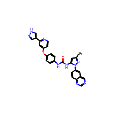 CC(C)c1cc(NC(=O)Nc2ccc(Oc3ccnc(-c4cn[nH]c4)c3)cc2)n(-c2ccc3ncncc3c2)n1